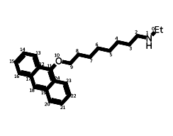 CCNCCCCCCCCOc1c2ccccc2cc2ccccc12